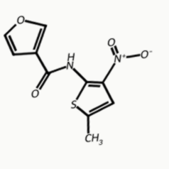 Cc1cc([N+](=O)[O-])c(NC(=O)c2ccoc2)s1